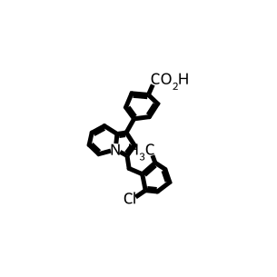 Cc1cccc(Cl)c1Cc1cc(-c2ccc(C(=O)O)cc2)c2ccccn12